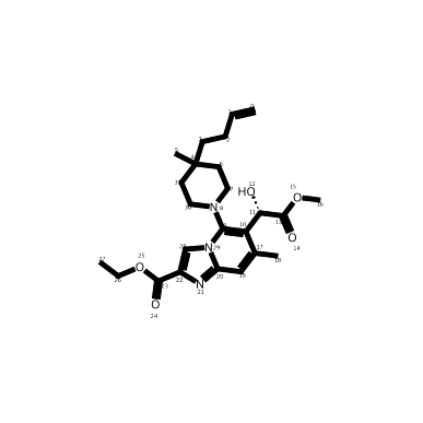 C=CCCC1(C)CCN(c2c([C@H](O)C(=O)OC)c(C)cc3nc(C(=O)OCC)cn23)CC1